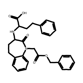 O=C(CN1C(=O)C(NC(CCc2ccccc2)C(=O)O)CCc2ccccc21)OCc1ccccc1